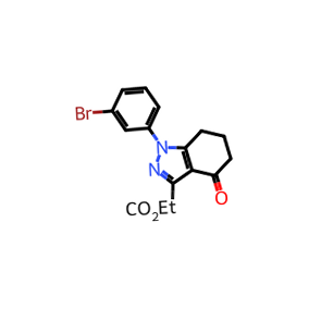 CCOC(=O)c1nn(-c2cccc(Br)c2)c2c1C(=O)CCC2